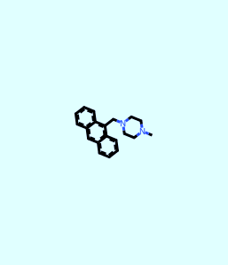 CN1CCN(Cc2c3ccccc3cc3ccccc23)CC1